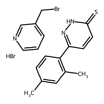 Br.BrCc1cccnc1.Cc1ccc(-c2ccc(=S)[nH]n2)c(C)c1